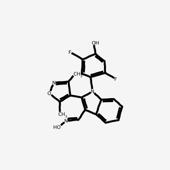 Cc1noc(C)c1-c1c(C=NO)c2ccccc2n1-c1cc(F)c(O)cc1F